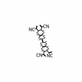 [C-]#[N+]C(=C)C1SC2=C(SC(=C3SC4=C(S3)SC(C(=C)C#N)C(C(=C)C#N)S4)S2)SC1C(=C)[N+]#[C-]